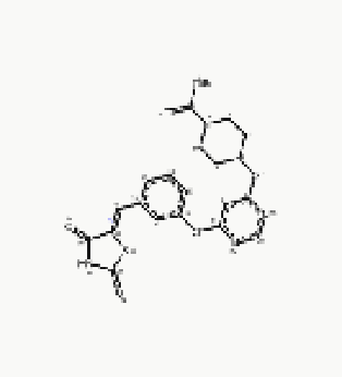 CC(C)COC(=O)N1CCC(Oc2cc(Oc3cccc(/C=C4\SC(=O)NC4=O)c3)ncn2)CC1